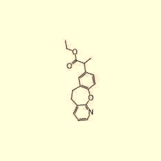 CCOC(=O)C(C)c1ccc2c(c1)CCc1cccnc1O2